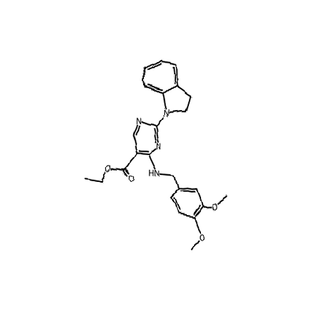 CCOC(=O)c1cnc(N2CCc3ccccc32)nc1NCc1ccc(OC)c(OC)c1